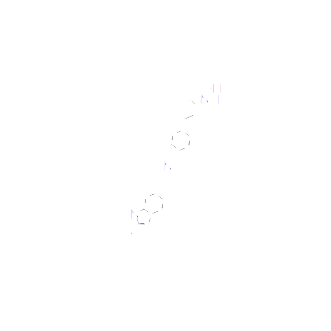 CC(C)(O)c1cc2ccc(CCNCc3ccc(/C=C/C(=O)NO)cc3)cc2[nH]1